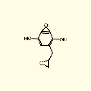 Oc1cc(CC2CO2)c(O)c2c1O2